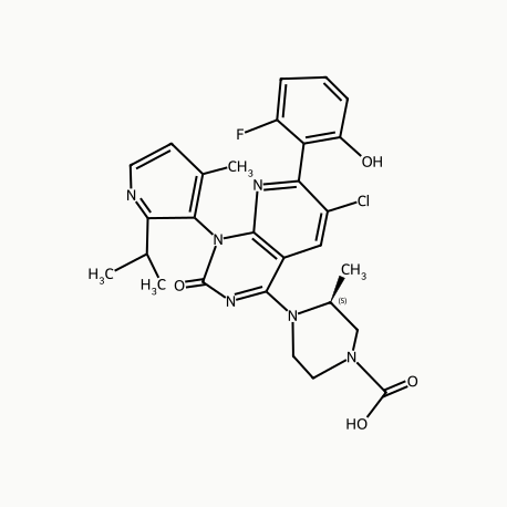 Cc1ccnc(C(C)C)c1-n1c(=O)nc(N2CCN(C(=O)O)C[C@@H]2C)c2cc(Cl)c(-c3c(O)cccc3F)nc21